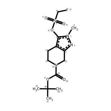 Cn1nc2c(c1OS(=O)(=O)CF)CCN(C(=O)OC(C)(C)C)C2